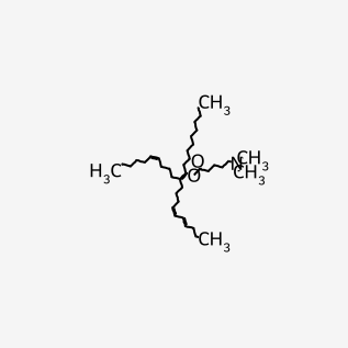 CCC/C=C/C=C\CCC/C(CCC/C=C\CCCCC)=C(/CCCCCCCCCC)OC(=O)CCCCN(C)C